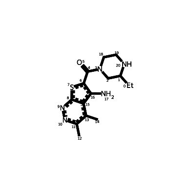 CCC1CN(C(=O)c2sc3nnc(C)c(C)c3c2N)CCN1